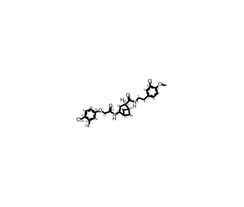 COc1ccc(CCNC(=O)[C@@H]2CC(NC(=O)COc3ccc(Cl)c(F)c3)C3CC2C3)cc1Cl